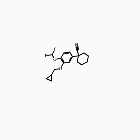 N#CC1(c2ccc(OC(F)F)c(OCC3CC3)c2)CCCCC1